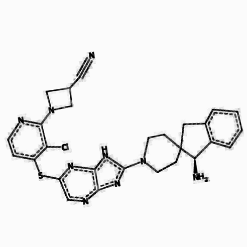 N#CC1CN(c2nccc(Sc3cnc4nc(N5CCC6(CC5)Cc5ccccc5[C@H]6N)[nH]c4n3)c2Cl)C1